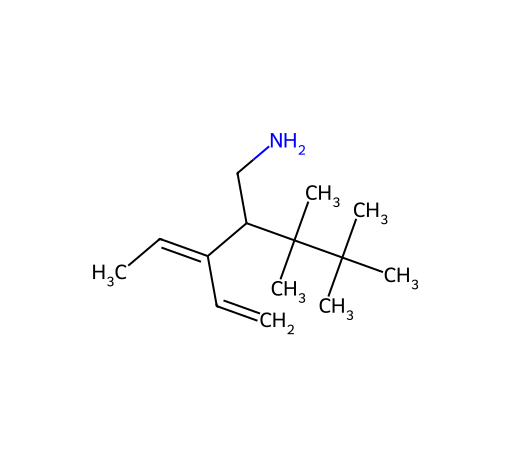 C=C/C(=C\C)C(CN)C(C)(C)C(C)(C)C